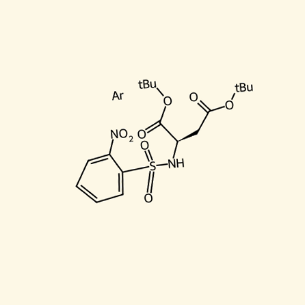 CC(C)(C)OC(=O)C[C@@H](NS(=O)(=O)c1ccccc1[N+](=O)[O-])C(=O)OC(C)(C)C.[Ar]